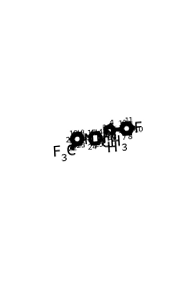 C[N+]1(c2ccc(-c3ccc(F)cc3)[nH]2)CCN(c2cccc(C(F)(F)F)c2)CC1